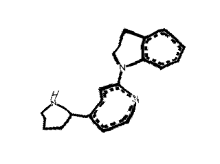 c1ccc2c(c1)CCN2c1cc(C2CCCN2)ccn1